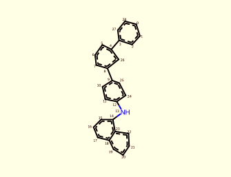 c1ccc(-c2cccc(-c3ccc(Nc4cccc5ccccc45)cc3)c2)cc1